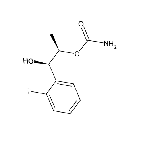 C[C@@H](OC(N)=O)[C@H](O)c1ccccc1F